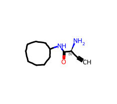 C#C[C@H](N)C(=O)NC1CCCCCCCC1